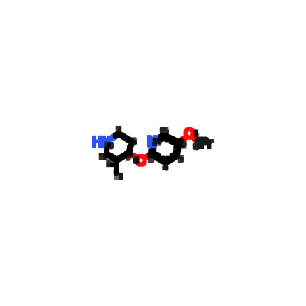 CC(C)Oc1ccc(O[C@@H]2CCNC[C@@H]2C)nc1